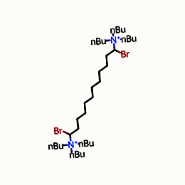 CCCC[N+](CCCC)(CCCC)C(Br)CCCCCCCCCCC(Br)[N+](CCCC)(CCCC)CCCC